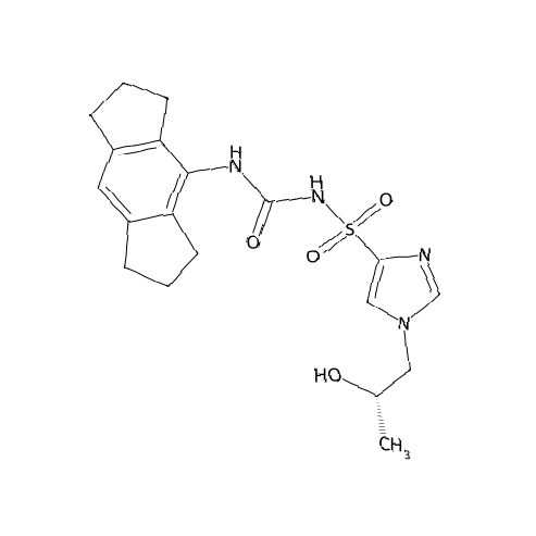 C[C@H](O)Cn1cnc(S(=O)(=O)NC(=O)Nc2c3c(cc4c2CCC4)CCC3)c1